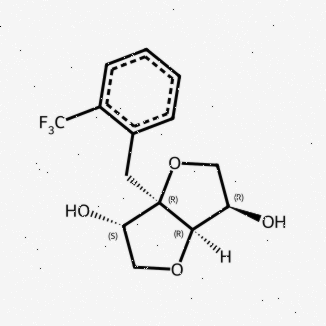 O[C@@H]1CO[C@@]2(Cc3ccccc3C(F)(F)F)[C@@H]1OC[C@@H]2O